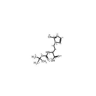 CC(C)(C)OC(=O)NC(CCn1ccnc1Cl)C(=O)O